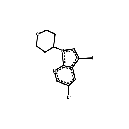 Brc1cnc2c(c1)c(I)cn2C1CCOCC1